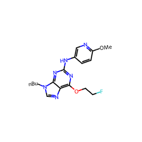 CCCCn1cnc2c(OCCF)nc(Nc3ccc(OC)nc3)nc21